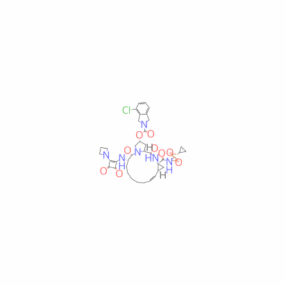 O=C1N[C@]2(C(=O)NS(=O)(=O)C3CC3)C[C@H]2C=CCCCCC[C@H](Nc2c(N3CCC3)c(=O)c2=O)C(=O)N2C[C@H](OC(=O)N3Cc4cccc(Cl)c4C3)C[C@@H]12